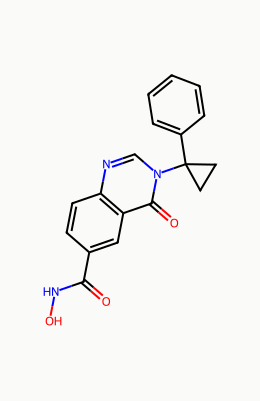 O=C(NO)c1ccc2ncn(C3(c4ccccc4)CC3)c(=O)c2c1